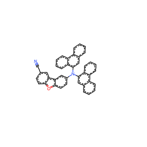 N#Cc1ccc2oc3ccc(N(c4cc5ccccc5c5ccccc45)c4cc5ccccc5c5ccccc45)cc3c2c1